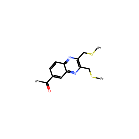 CC(C)SCc1nc2ccc(C(=O)C(C)C)cc2nc1CSC(C)C